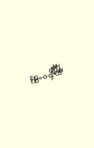 CCOC(OCC)C12CC(c3ccc(-c4cc(F)c5c(c4)C(=O)N(C(C(=O)Nc4nccs4)c4ncn6c4CCC6)C5)cc3)(C1)C2